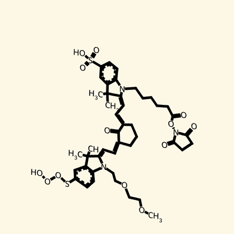 COCCOCCN1C(=CC=C2CCCC(=CC=C3N(CCCCCC(=O)ON4C(=O)CCC4=O)c4ccc(S(=O)(=O)O)cc4C3(C)C)C2=O)C(C)(C)c2cc(SOOO)ccc21